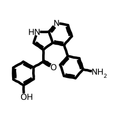 Nc1cccc(-c2ccnc3[nH]cc(C(=O)c4cccc(O)c4)c23)c1